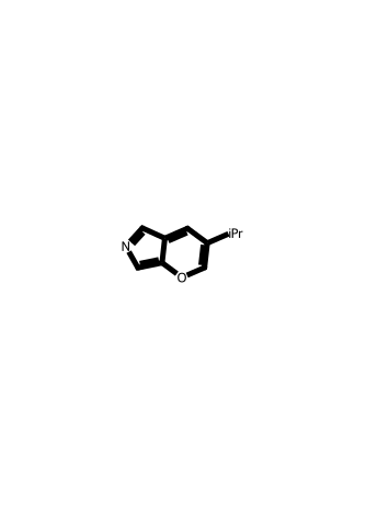 CC(C)c1coc2cncc-2c1